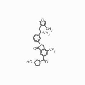 Cc1conc1C[C@@H](C)c1cccc(N2Cc3c(cc(C(=O)N4CC[C@H](O)C4)cc3C(F)(F)F)C2=O)c1